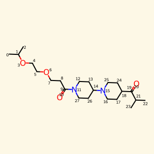 CC(C)OCCOCCC(=O)N1CCC(N2CCC(C(=O)C(C)C)CC2)CC1